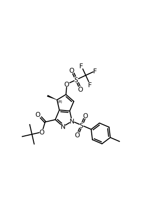 Cc1ccc(S(=O)(=O)n2nc(C(=O)OC(C)(C)C)c3c2C=C(OS(=O)(=O)C(F)(F)F)[C@@H]3C)cc1